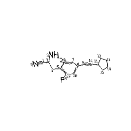 N#CC(N)Cc1ccc(C#CC2CCCC2)cc1F